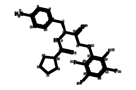 Nc1ccc(C[C@H](NC(=O)C2CCCC2)C(=O)COc2c(F)c(F)cc(F)c2F)cn1